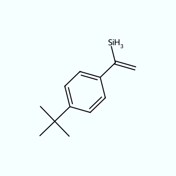 C=C([SiH3])c1ccc(C(C)(C)C)cc1